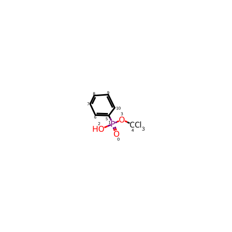 O=P(O)(OC(Cl)(Cl)Cl)c1ccccc1